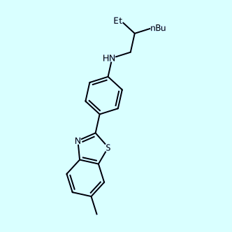 CCCCC(CC)CNc1ccc(-c2nc3ccc(C)cc3s2)cc1